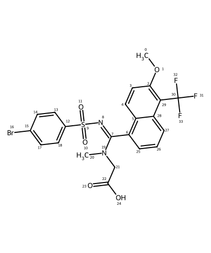 COc1ccc2c(C(=NS(=O)(=O)c3ccc(Br)cc3)N(C)CC(=O)O)cccc2c1C(F)(F)F